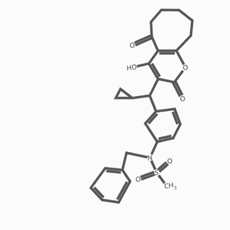 CS(=O)(=O)N(Cc1ccccc1)c1cccc(C(c2c(O)c3c(oc2=O)CCCCCC3=O)C2CC2)c1